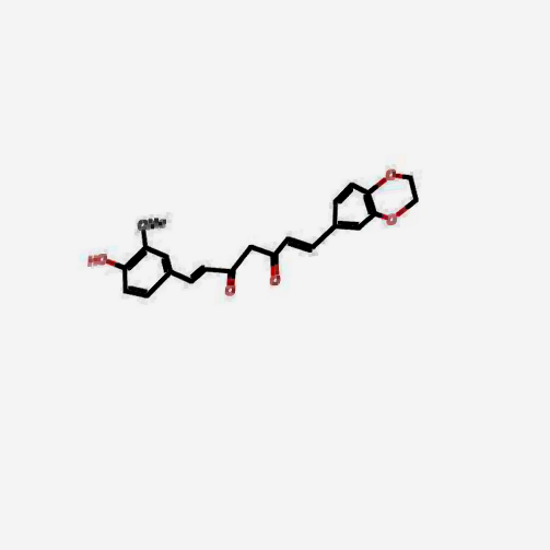 COc1cc(/C=C/C(=O)CC(=O)/C=C/c2ccc3c(c2)OCCO3)ccc1O